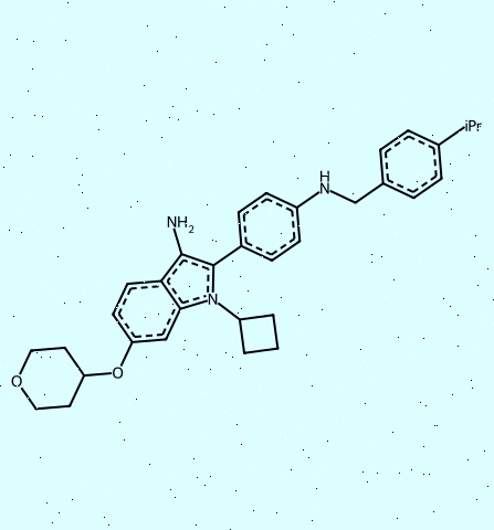 CC(C)c1ccc(CNc2ccc(-c3c(N)c4ccc(OC5CCOCC5)cc4n3C3CCC3)cc2)cc1